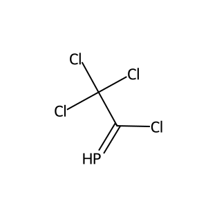 P=C(Cl)C(Cl)(Cl)Cl